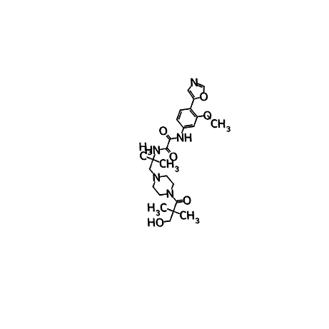 COc1cc(NC(=O)C(=O)NC(C)(C)CN2CCN(C(=O)C(C)(C)CO)CC2)ccc1-c1cnco1